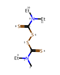 CCN(C)C(=S)SSC(=S)N(CC)CC